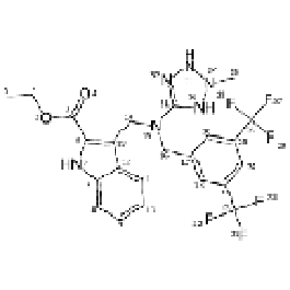 CCOC(=O)c1[nH]c2ccccc2c1CN(Cc1cc(C(F)(F)F)cc(C(F)(F)F)c1)C1=NNN(C)N1